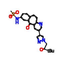 CC(C)(C)C(=O)Cn1cc(-c2cnc3ccc4ccc(NS(C)(=O)=O)cc4c(=O)c3c2)cn1